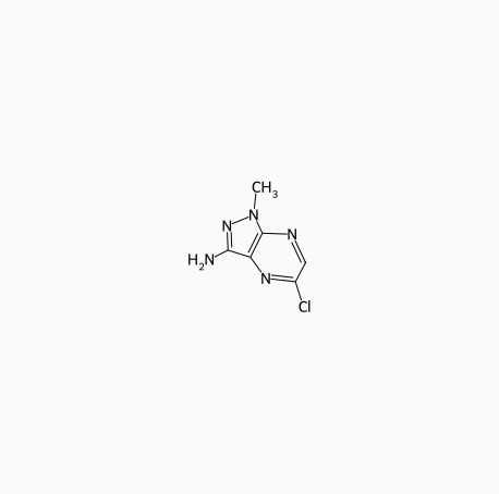 Cn1nc(N)c2nc(Cl)cnc21